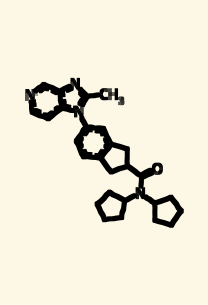 Cc1nc2cnccc2n1-c1ccc2c(c1)CC(C(=O)N(C1CCCC1)C1CCCC1)C2